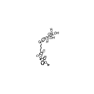 O=C(CCCCc1cc(Cl)c(COC2(c3cnccc3-c3ccccc3OC3CC3)CC2)cc1Cl)N1CCN(CC(O)C(O)C(O)C(O)CO)CC1